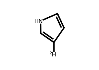 [2H]c1cc[nH]c1